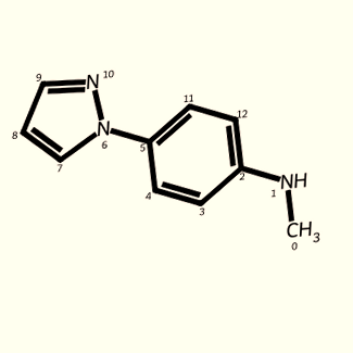 CNc1ccc(-n2cccn2)cc1